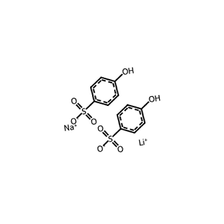 O=S(=O)([O-])c1ccc(O)cc1.O=S(=O)([O-])c1ccc(O)cc1.[Li+].[Na+]